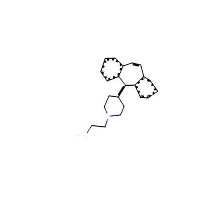 CNCCN1CCC(=C2c3ccccc3C=Cc3ccccc32)CC1